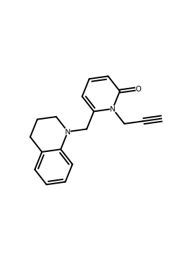 C#CCn1c(CN2CCCc3ccccc32)cccc1=O